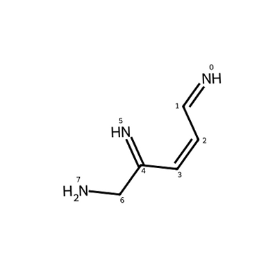 N=C/C=C\C(=N)CN